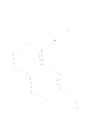 COc1ccc2nccc(C3(F)COC3)c2n1